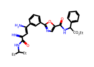 CCOC(=O)C(NC(=O)c1cnc(-c2cccc(/C(N)=C/C(=N)C(=O)NC(CC)CC)c2)o1)c1ccccc1